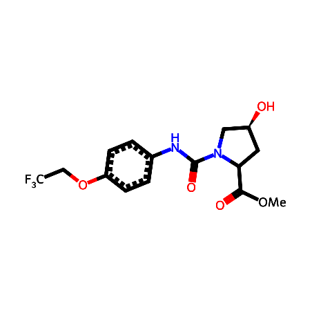 COC(=O)C1C[C@H](O)CN1C(=O)Nc1ccc(OCC(F)(F)F)cc1